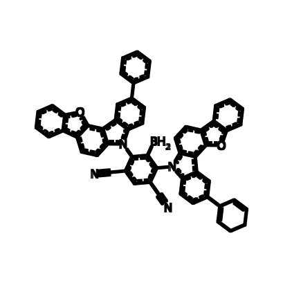 Bc1c(-n2c3ccc(C4=CCCC=C4)cc3c3c4oc5ccccc5c4ccc32)c(C#N)cc(C#N)c1-n1c2ccc(-c3ccccc3)cc2c2c3oc4ccccc4c3ccc21